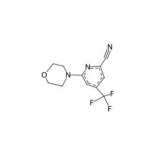 N#Cc1cc(C(F)(F)F)cc(N2CCOCC2)n1